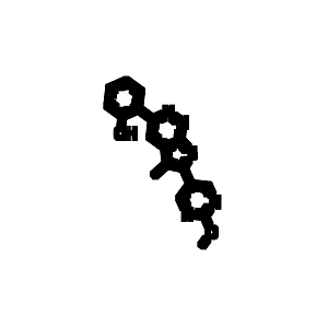 COc1ncc(-c2sc3nnc(-c4ccccc4O)cc3c2C)cn1